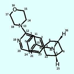 c1ccc(N2[C@@H]3C[C@H]2CN(c2cc(N4CCOCC4)ncn2)C3)cc1